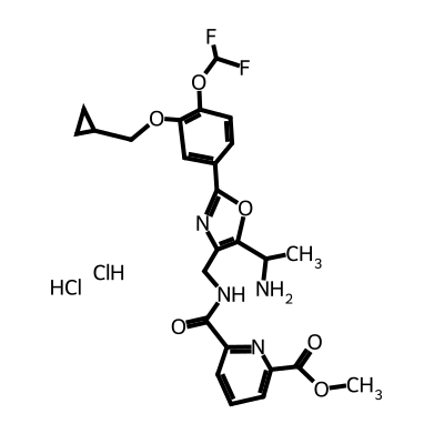 COC(=O)c1cccc(C(=O)NCc2nc(-c3ccc(OC(F)F)c(OCC4CC4)c3)oc2C(C)N)n1.Cl.Cl